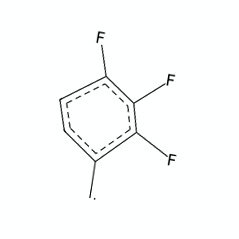 [CH2]c1ccc(F)c(F)c1F